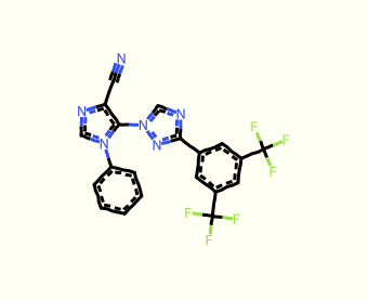 N#Cc1ncn(-c2ccccc2)c1-n1cnc(-c2cc(C(F)(F)F)cc(C(F)(F)F)c2)n1